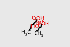 CCCC(O)CC(=O)O.CCCCCCC(O)C(=O)O